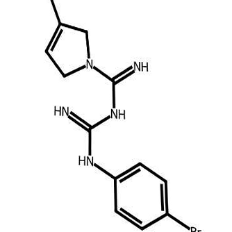 CC1=CCN(C(=N)NC(=N)Nc2ccc(Br)cc2)C1